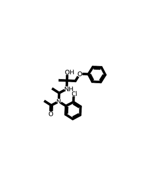 CC(=O)N(c1ccccc1Cl)C(C)NC(C)(O)COc1ccccc1